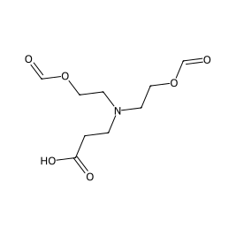 O=COCCN(CCOC=O)CCC(=O)O